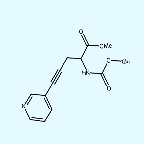 COC(=O)C(CC#Cc1cccnc1)NC(=O)OC(C)(C)C